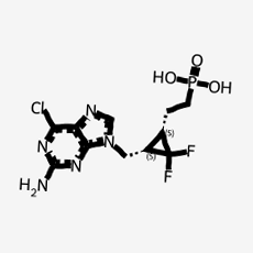 Nc1nc(Cl)c2ncn(C[C@@H]3[C@H](CCP(=O)(O)O)C3(F)F)c2n1